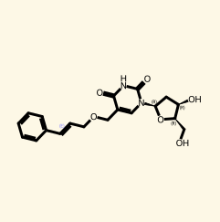 O=c1[nH]c(=O)n([C@H]2C[C@@H](O)[C@@H](CO)O2)cc1COC/C=C/c1ccccc1